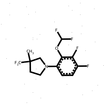 CC1(C(F)(F)F)CCN(c2ccc(F)c(F)c2OC(F)F)C1